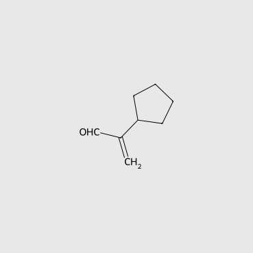 C=C(C=O)C1CCCC1